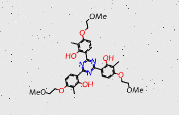 COCCOc1ccc(-c2nc(-c3ccc(OCCOC)c(C)c3O)nc(-c3ccc(OCCOC)c(C)c3O)n2)c(O)c1C